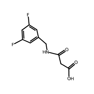 O=C(O)CC(=O)NCc1cc(F)cc(F)c1